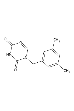 Cc1cc(C)cc(Cn2cnc(=O)[nH]c2=O)c1